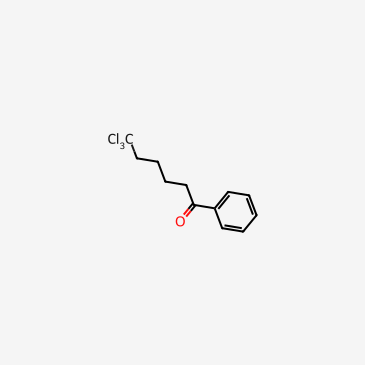 O=C(CCCCC(Cl)(Cl)Cl)c1ccccc1